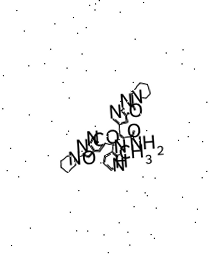 Cc1ncccc1C1(c2cnc3nc(N4CCCCC4)oc3c2)NC(C(N)=O)=C(c2cnc3nc(N4CCCCC4)oc3c2)O1